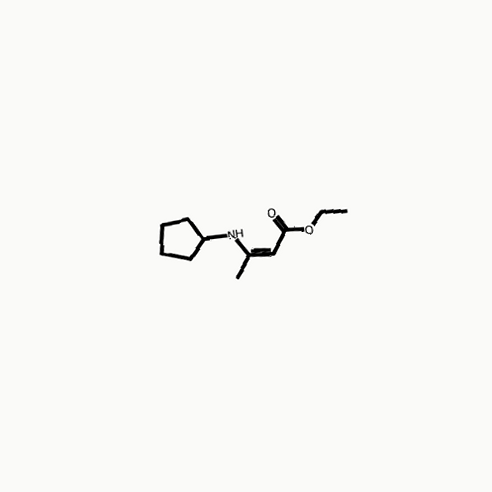 CCOC(=O)/C=C(/C)NC1CCCC1